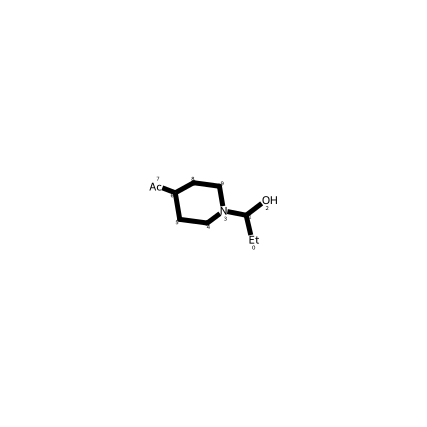 CCC(O)N1CCC(C(C)=O)CC1